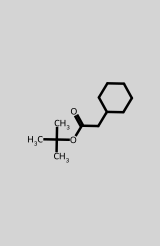 CC(C)(C)OC(=O)C[C]1CCCCC1